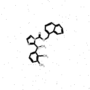 Cc1cccc([C@H](C)c2nccn2C(=O)OCc2cccc3ccccc23)c1C